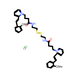 COc1ccccc1/C=C/c1cccc[n+]1CCCC(=O)NCCSSCCNC(=O)CCC[n+]1ccccc1/C=C/c1ccccc1OC.[Cl-].[Cl-]